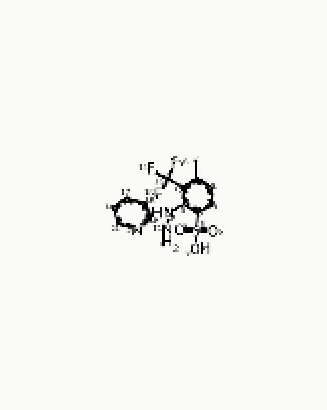 Cc1ccc(S(=O)(=O)O)c(NN)c1C(F)(F)F.c1ccncc1